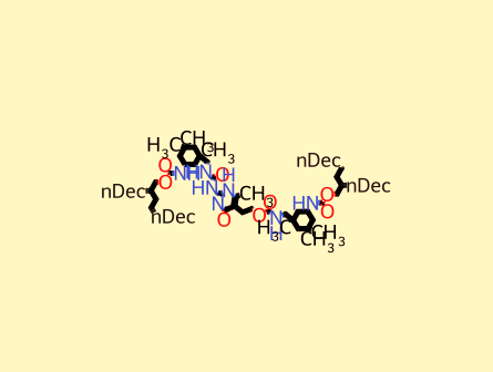 CCCCCCCCCCCCC(CCCCCCCCCC)COC(=O)NC1CC(C)(C)CC(C)(CNC(=O)Nc2nc(=O)c(CCOC(=O)NCC3(C)C[C@H](NC(=O)OCC(CCCCCCCCCC)CCCCCCCCCCCC)CC(C)(C)C3)c(C)[nH]2)C1